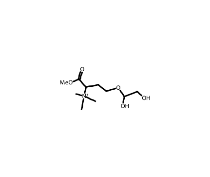 COC(=O)C(CCOC(O)CO)[N+](C)(C)C